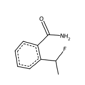 CC(F)c1ccccc1C(N)=O